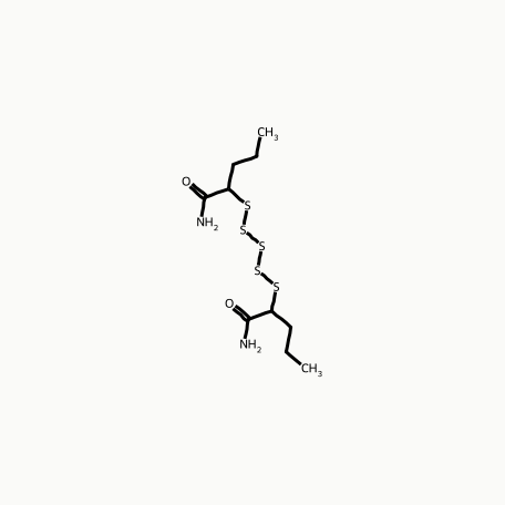 CCCC(SSSSSC(CCC)C(N)=O)C(N)=O